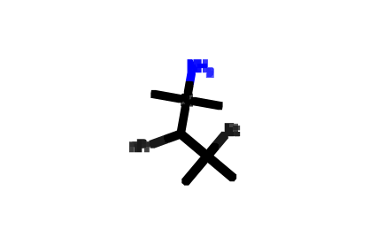 CCCC(C(C)(C)CC)[Si](C)(C)N